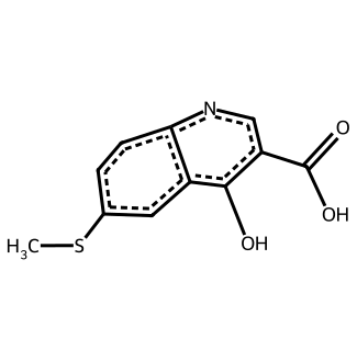 CSc1ccc2ncc(C(=O)O)c(O)c2c1